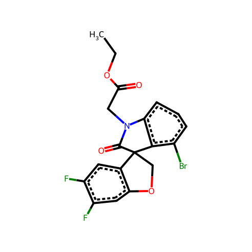 CCOC(=O)CN1C(=O)C2(COc3cc(F)c(F)cc32)c2c(Br)cccc21